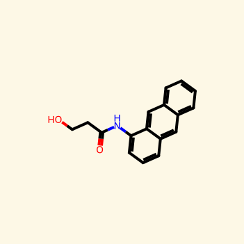 O=C(CCO)Nc1cccc2cc3ccccc3cc12